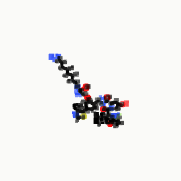 Cc1ncsc1-c1ccc(CNC(=O)[C@@H]2C[C@@H](O)CN2C(=O)[C@@H](NC(=O)C2(F)CC2)C(C)(C)C)c(OCC(=O)NCCCCCCCCN)c1